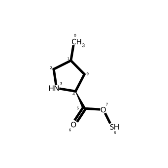 CC1CN[C@H](C(=O)OS)C1